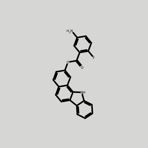 Nc1ccc(F)c(C(=O)Oc2ccc3ccc4c5ccccc5[nH]c4c3c2)c1